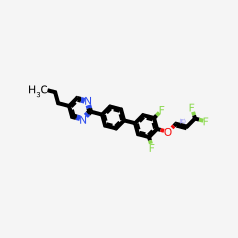 CCCc1cnc(-c2ccc(-c3cc(F)c(O/C=C/C(F)F)c(F)c3)cc2)nc1